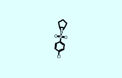 O=S(=O)(c1ccc(Cl)cc1)N1C2CCCC21